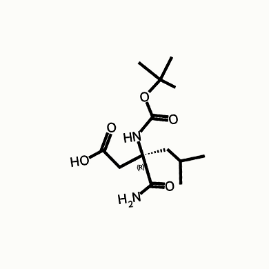 CC(C)C[C@](CC(=O)O)(NC(=O)OC(C)(C)C)C(N)=O